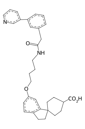 O=C(Cc1cccc(-c2cccnc2)c1)NCCCCOc1ccc2c(c1)C1(CC2)CCC(C(=O)O)CC1